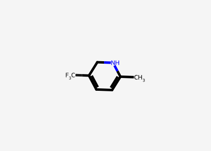 CC1=CC=C(C(F)(F)F)CN1